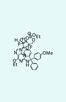 CCOc1nc(NC(c2ccccc2)(c2ccccc2)c2ccc(OC)cc2)nc2c1ncn2[C@@H]1O[C@]2(F)COP(=O)(OCC)O[C@H]2[C@@]1(C)F